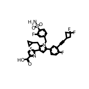 NS(=O)(=O)c1ccc(Cn2c(-c3ccc(F)c(C#CC4CC(F)(F)C4)c3)cc(-c3nc(C(=O)O)cs3)c2CC2CC2)cc1F